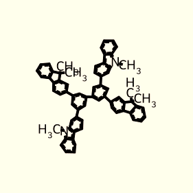 Cn1c2ccccc2c2ccc(-c3cc(-c4cc(-c5ccc6c(c5)C(C)(C)c5ccccc5-6)cc(-c5ccc6c7ccccc7n(C)c6c5)c4)cc(-c4ccc5c(c4)C(C)(C)c4ccccc4-5)c3)cc21